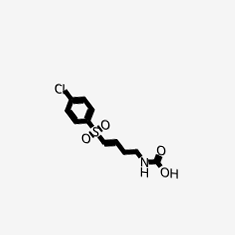 O=C(O)NCC/C=C/S(=O)(=O)c1ccc(Cl)cc1